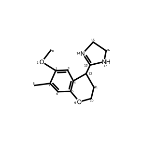 COc1cc2c(cc1C)OCCC2C1=NCCN1